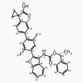 C[C@@H](OC(=O)Nc1c(-c2cc(F)c(-c3ccc(C4(C(=O)O)CC4)cc3)cc2F)oc2cnccc12)c1ccccc1